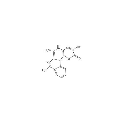 CC1=C(OC(=O)OC(C)C)C(c2ccccc2OC(F)(F)F)C([N+](=O)[O-])=C(C)N1